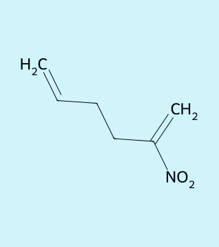 C=CCCC(=C)[N+](=O)[O-]